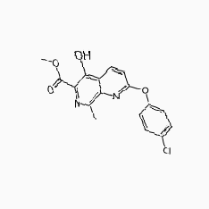 COC(=O)c1nc(C)c2nc(Oc3ccc(Cl)cc3)ccc2c1O